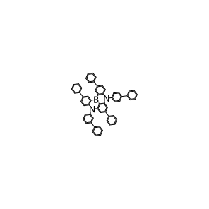 c1ccc(-c2ccc(N3c4ccc(-c5ccccc5)cc4B4c5cc(-c6ccccc6)ccc5N(c5cccc(-c6ccccc6)c5)c5cc(-c6ccccc6)cc3c54)cc2)cc1